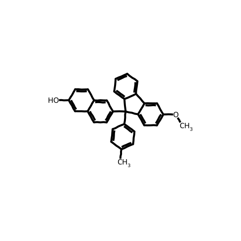 COc1ccc2c(c1)-c1ccccc1C2(c1ccc(C)cc1)c1ccc2cc(O)ccc2c1